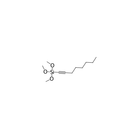 CCCCCCC#C[Si](OC)(OC)OC